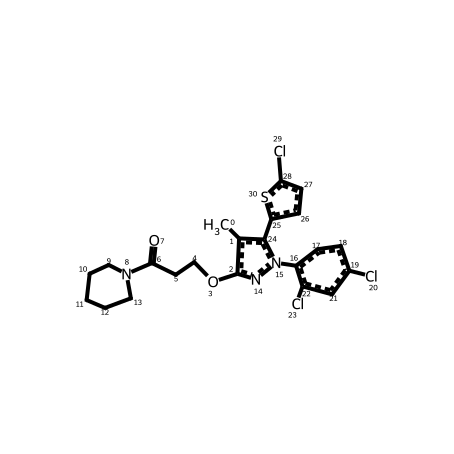 Cc1c(OCCC(=O)N2CCCCC2)nn(-c2ccc(Cl)cc2Cl)c1-c1ccc(Cl)s1